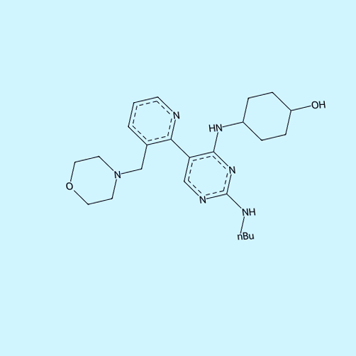 CCCCNc1ncc(-c2ncccc2CN2CCOCC2)c(NC2CCC(O)CC2)n1